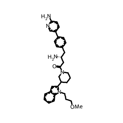 COCCCn1c(C2CCCN(C(=O)C[C@H](N)Cc3ccc(-c4ccc(N)nc4)cc3)C2)cc2ccccc21